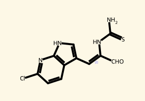 NC(=S)N/C(C=O)=C\c1c[nH]c2nc(Cl)ccc12